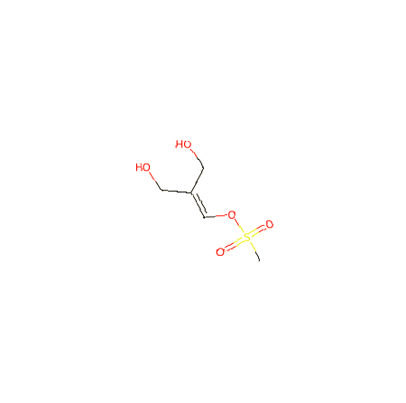 CS(=O)(=O)OC=C(CO)CO